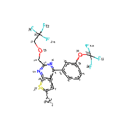 Cc1cc2c(-c3cccc(OC(F)(F)F)c3)nc(COCC(F)(F)F)nc2s1